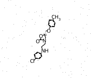 Cc1ccc(OC[C@@H]2CN(CCNc3ccc(Cl)cc3)C(=O)O2)cc1